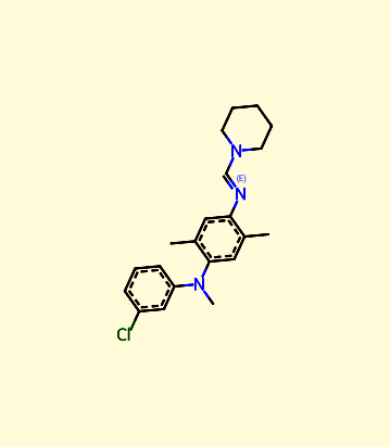 Cc1cc(N(C)c2cccc(Cl)c2)c(C)cc1/N=C/N1CCCCC1